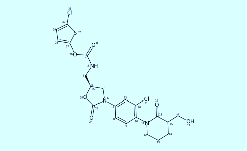 O=C(NC[C@H]1CN(c2ccc(N3CCCC(CO)C3=O)c(Cl)c2)C(=O)O1)Oc1ccc(Cl)s1